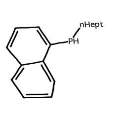 CCCCCCCPc1cccc2ccccc12